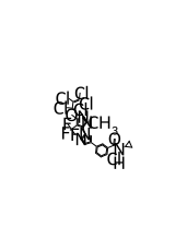 Cn1nc(OC(Cl)(Cl)C(Cl)=C(Cl)Cl)c(C(F)(F)F)c1-n1cc(-c2ccc(Cl)c(C(=O)NC3CC3)c2)cn1